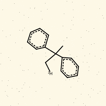 [2H]CC(C)(c1ccccc1)c1ccccc1